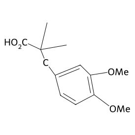 COc1ccc(CC(C)(C)C(=O)O)cc1OC